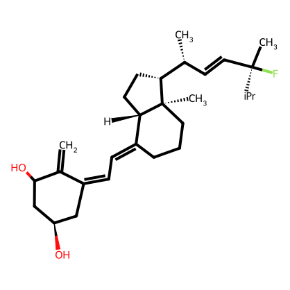 C=C1/C(=C\C=C2/CCC[C@]3(C)[C@@H]([C@H](C)/C=C/[C@@](C)(F)C(C)C)CC[C@@H]23)C[C@@H](O)CC1O